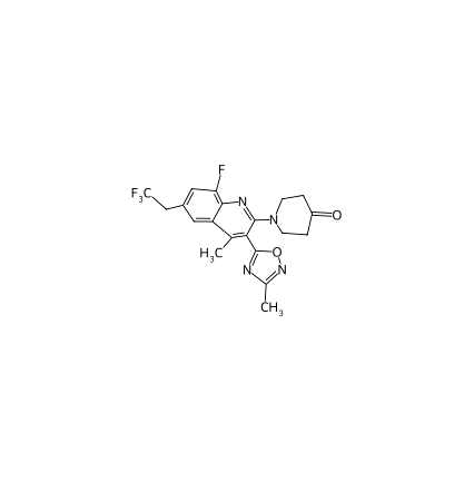 Cc1noc(-c2c(N3CCC(=O)CC3)nc3c(F)cc(CC(F)(F)F)cc3c2C)n1